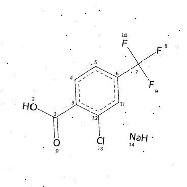 O=C(O)c1ccc(C(F)(F)F)cc1Cl.[NaH]